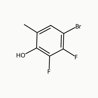 Cc1cc(Br)c(F)c(F)c1O